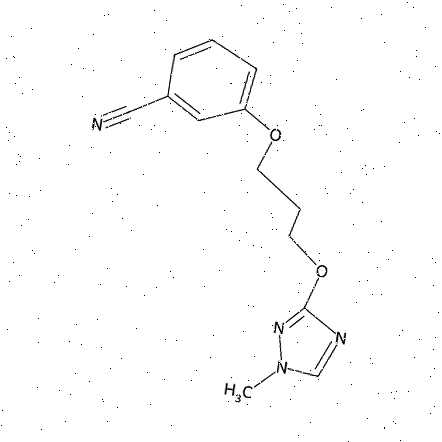 Cn1cnc(OCCCOc2cccc(C#N)c2)n1